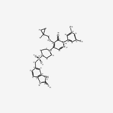 CC1(COc2c(N3CCN(S(=O)(=O)Cc4ccc5oc(=S)[nH]c5c4)CC3)cnn(-c3cc(F)cc(F)c3)c2=O)CC1